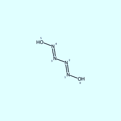 O/N=N/N=N/O